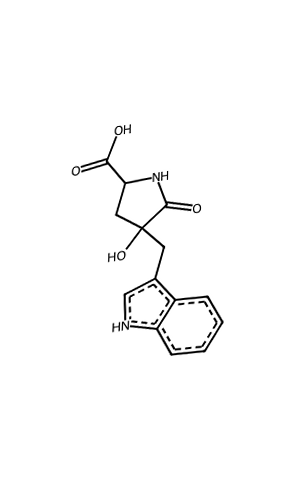 O=C(O)C1CC(O)(Cc2c[nH]c3ccccc23)C(=O)N1